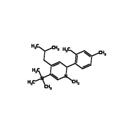 Cc1ccc(C2C=C(CC(C)C)C([Si](C)(C)C)=CN2C)c(C)c1